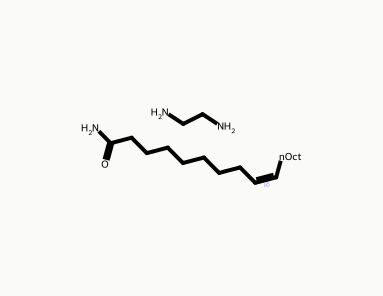 CCCCCCCC/C=C\CCCCCCCC(N)=O.NCCN